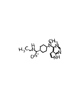 CCNC([S+]=O)[C@H]1CC[C@@H](N(C)c2ncnc3[nH]ccc23)CC1